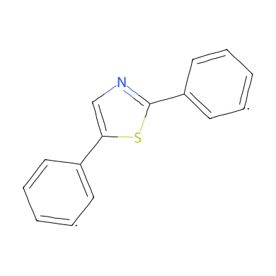 [c]1cccc(-c2cnc(-c3c[c]ccc3)s2)c1